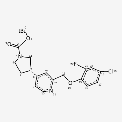 CC(C)(C)OC(=O)N1CC[C@@H](c2ccnc(COc3ccc(Cl)cc3F)c2)C1